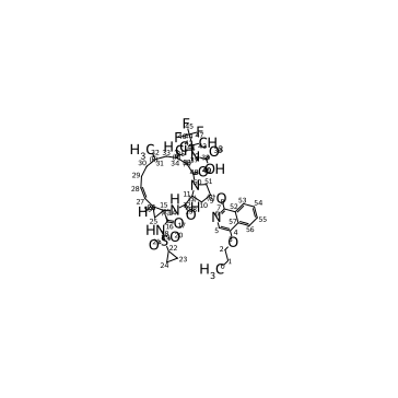 CCCOc1cnc(O[C@@H]2C[C@H]3C(=O)N[C@]4(C(=O)NS(=O)(=O)C5CC5)C[C@H]4C=CCC[C@@H](C)C[C@@H](C)[C@H](N(C(=O)O)C(C)(C)C(F)(F)F)C(=O)N3C2)c2ccccc12